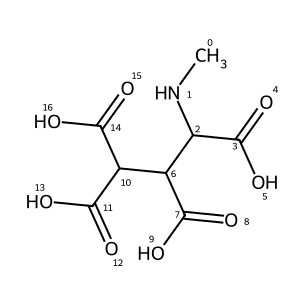 CNC(C(=O)O)C(C(=O)O)C(C(=O)O)C(=O)O